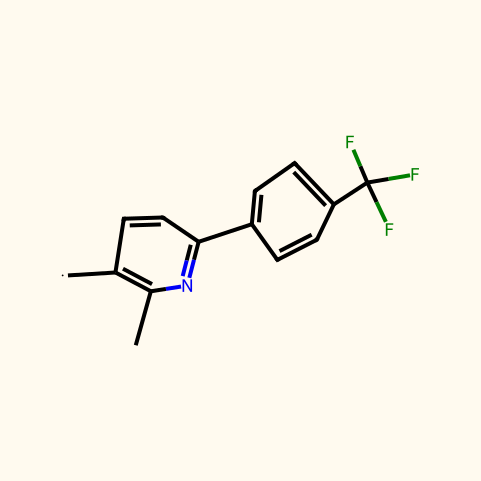 [CH2]c1ccc(-c2ccc(C(F)(F)F)cc2)nc1C